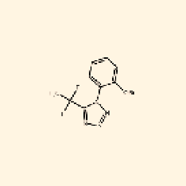 CC(C)COc1ccccc1-n1nnnc1C(F)(F)C(F)(F)F